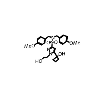 COc1ccc(CN(Cc2ccc(OC)cc2)S(=O)(=O)c2cc(C3(O)CCC3)n(CCO)n2)cc1